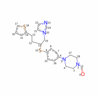 O=CN1CCN(c2ccc(SC(CCc3cccs3)Cn3ccnc3)cc2)CC1